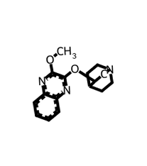 COc1nc2ccccc2nc1OC1CN2CCC1CC2